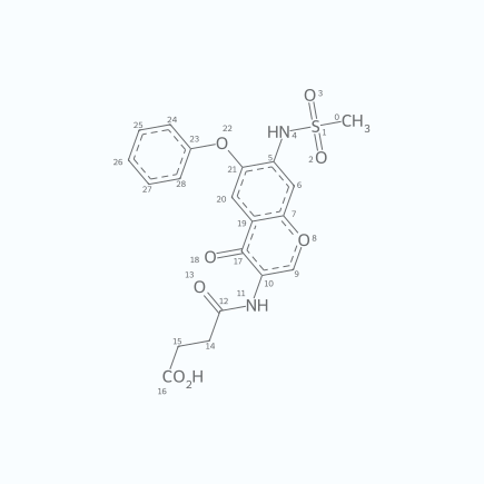 CS(=O)(=O)Nc1cc2occ(NC(=O)CCC(=O)O)c(=O)c2cc1Oc1ccccc1